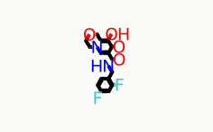 O=C(NCc1ccc(F)cc1F)c1cn2c(c(O)c1=O)COCC2